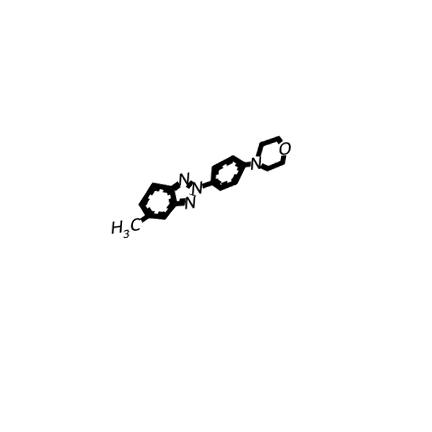 Cc1ccc2nn(-c3ccc(N4CCOCC4)cc3)nc2c1